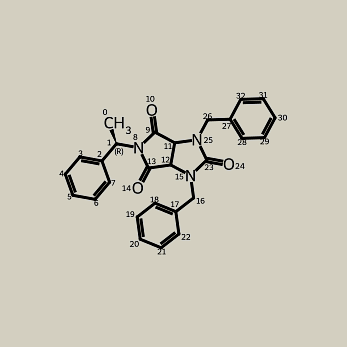 C[C@H](c1ccccc1)N1C(=O)C2C(C1=O)N(Cc1ccccc1)C(=O)N2Cc1ccccc1